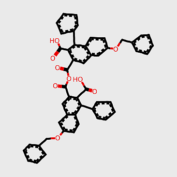 O=C(OC(=O)c1cc2cc(OCc3ccccc3)ccc2c(-c2ccccc2)c1C(=O)O)c1cc2cc(OCc3ccccc3)ccc2c(-c2ccccc2)c1C(=O)O